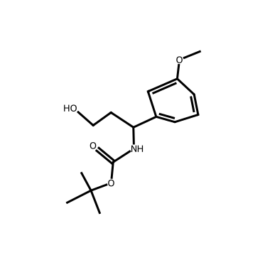 COc1cccc(C(CCO)NC(=O)OC(C)(C)C)c1